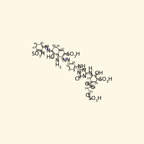 Nc1c(/N=N/c2cccc(Nc3nc(Cl)nc(Nc4cc(S(=O)(=O)CCOS(=O)(=O)O)cc(S(=O)(=O)O)c4O)n3)c2)c(S(=O)(=O)O)cc2ccc(/N=N/c3ccccc3S(=O)(=O)O)c(O)c12